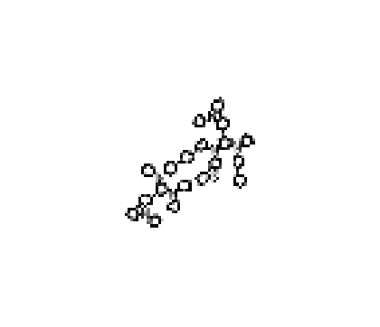 c1ccc(-c2ccc(N(c3ccccc3)c3cc(-c4ccc5c6ccccc6n(-c6ccccc6)c5c4)cc(N(c4cccc(-c5ccc(-c6ccc(N(c7ccccc7)c7cc(-c8ccc9c%10ccccc%10n(-c%10ccccc%10)c9c8)cc(N(c8ccccc8)c8ccccc8)c7)cc6)cc5)c4)c4ccc5sc6ccccc6c5c4)c3)cc2)cc1